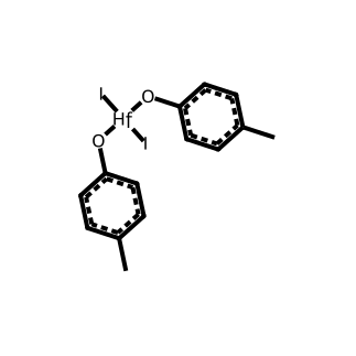 Cc1ccc([O][Hf]([I])([I])[O]c2ccc(C)cc2)cc1